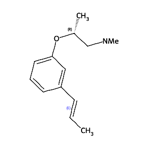 C/C=C/c1cccc(O[C@H](C)CNC)c1